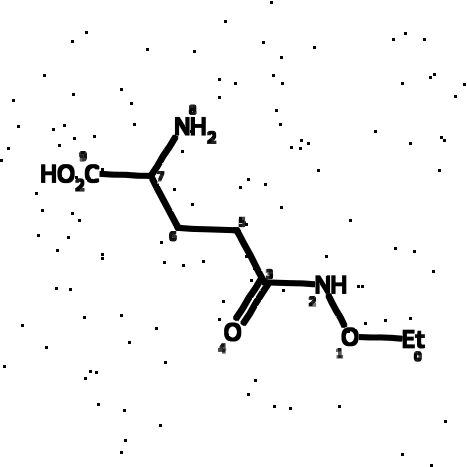 CCONC(=O)CCC(N)C(=O)O